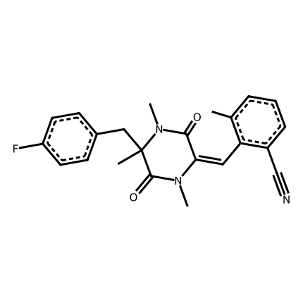 Cc1cccc(C#N)c1C=C1C(=O)N(C)C(C)(Cc2ccc(F)cc2)C(=O)N1C